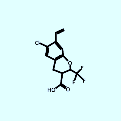 C=Cc1cc2c(cc1Cl)CC(C(=O)O)C(C(F)(F)F)O2